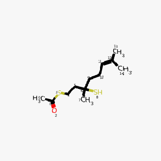 CC(=O)SCCC(C)(S)CCC=C(C)C